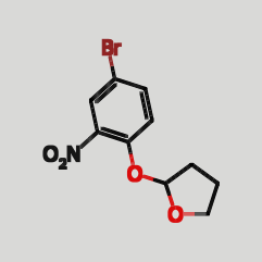 O=[N+]([O-])c1cc(Br)ccc1OC1CCCO1